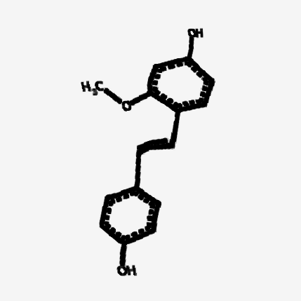 COc1cc(O)ccc1/C=C/c1ccc(O)cc1